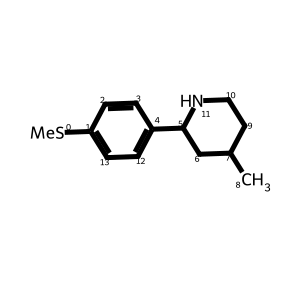 CSc1ccc(C2CC(C)CCN2)cc1